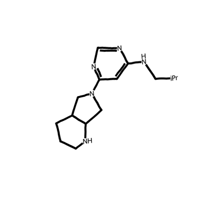 CC(C)CNc1cc(N2CC3CCCNC3C2)ncn1